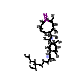 CCCCC(CC)CCC/C(C)=C/c1cc(/C(C)=C(\C)c2cccc[pH]c(C)cc2C)c(C)cc1C